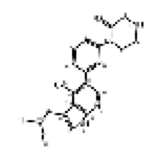 O=C1CNCCN1c1cccc(-c2cnc3[nH]cc(CC(F)F)c3c2Cl)c1